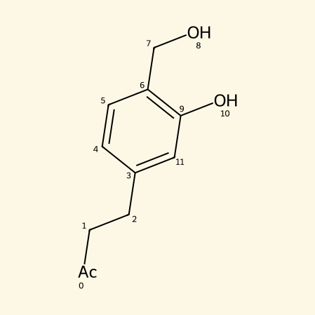 CC(=O)CCc1ccc(CO)c(O)c1